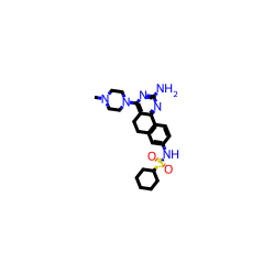 CN1CCN(c2nc(N)nc3c2CCc2cc(NS(=O)(=O)C4CCCCC4)ccc2-3)CC1